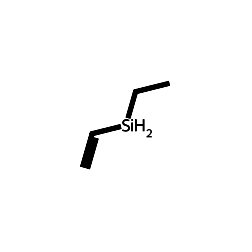 C=C[SiH2]CC